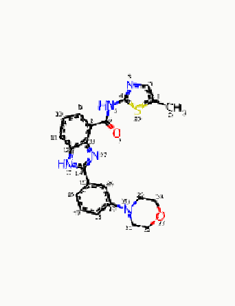 Cc1cnc(NC(=O)c2cccc3[nH]c(-c4cccc(N5CCOCC5)c4)nc23)s1